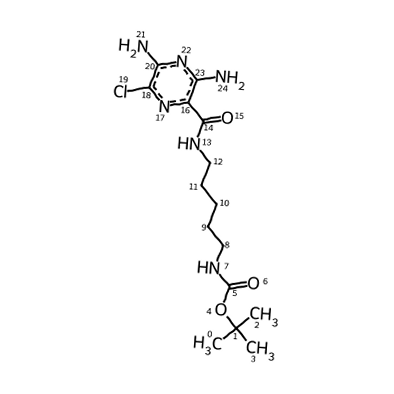 CC(C)(C)OC(=O)NCCCCCNC(=O)c1nc(Cl)c(N)nc1N